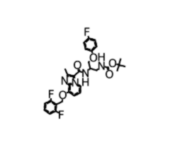 Cc1nc2c(OCc3c(F)cccc3F)cccn2c1C(=O)NC(CNC(=O)OC(C)(C)C)COc1ccc(F)cc1